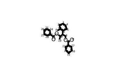 Cc1ccccc1C(COC(=O)c1ccccc1)C(C)OC(=O)c1ccccc1